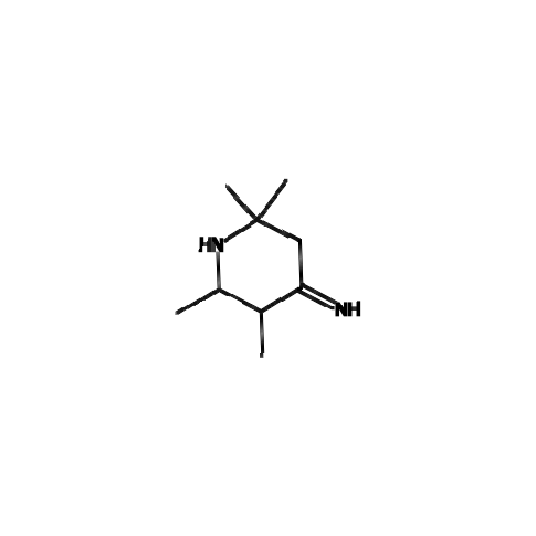 CC1NC(C)(C)CC(=N)C1C